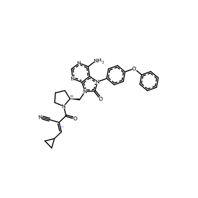 N#C/C(=C\C1CC1)C(=O)N1CCC[C@H]1Cn1c(=O)n(-c2ccc(Oc3ccccc3)cc2)c2c(N)ncnc21